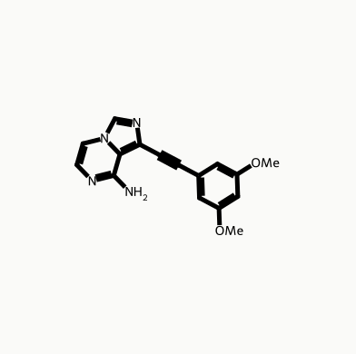 COc1cc(C#Cc2ncn3ccnc(N)c23)cc(OC)c1